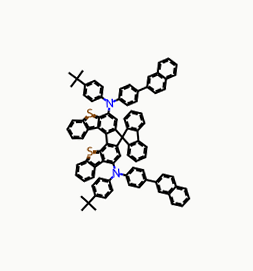 CC(C)(C)c1ccc(N(c2ccc(-c3ccc4ccccc4c3)cc2)c2cc3c(c4c2sc2ccccc24)-c2c(cc(N(c4ccc(-c5ccc6ccccc6c5)cc4)c4ccc(C(C)(C)C)cc4)c4c2sc2ccccc24)C32c3ccccc3-c3ccccc32)cc1